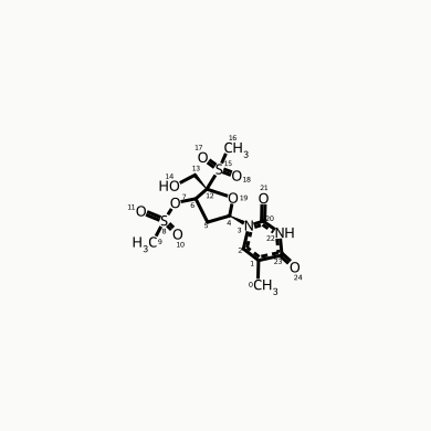 Cc1cn([C@H]2CC(OS(C)(=O)=O)[C@](CO)(S(C)(=O)=O)O2)c(=O)[nH]c1=O